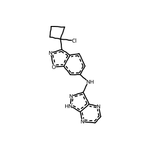 ClC1(c2noc3cc(Nc4n[nH]c5nccnc45)ccc23)CCC1